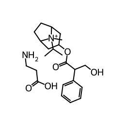 CC(C)[N+]1(C)C2CCC1CC(OC(=O)C(CO)c1ccccc1)C2.NCCC(=O)O